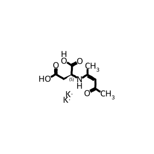 CC(=O)C=C(C)N[C@@H](CC(=O)O)C(=O)O.[K].[K]